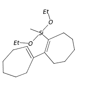 CCO[Si](C)(OCC)C1=C(C2=CCCCCC2)CCCCC1